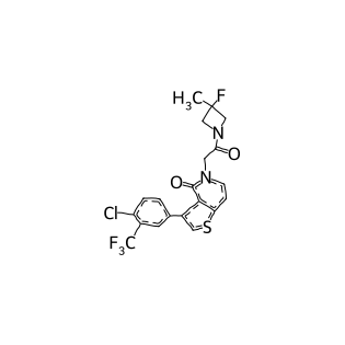 CC1(F)CN(C(=O)Cn2ccc3scc(-c4ccc(Cl)c(C(F)(F)F)c4)c3c2=O)C1